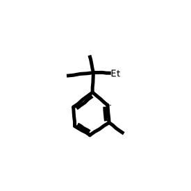 CCC(C)(C)c1[c]c(C)ccc1